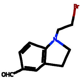 O=Cc1ccc2c(c1)CCN2CCBr